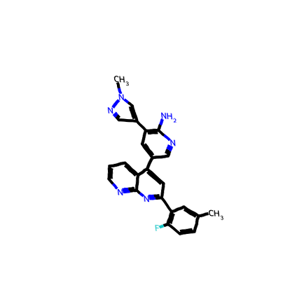 Cc1ccc(F)c(-c2cc(-c3cnc(N)c(-c4cnn(C)c4)c3)c3cccnc3n2)c1